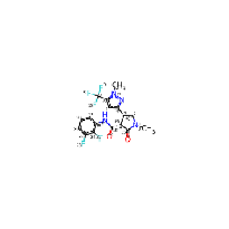 CN1C[C@H](c2cc(C(F)(F)F)n(C)n2)[C@@H](C(=O)Nc2cccc(F)c2F)C1=O